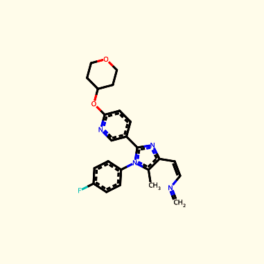 C=N/C=C\c1nc(-c2ccc(OC3CCOCC3)nc2)n(-c2ccc(F)cc2)c1C